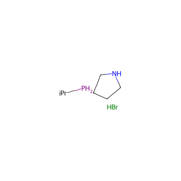 Br.C1CCNC1.CC(C)P